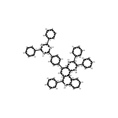 c1ccc(-c2nc(-c3ccccc3)nc(-c3ccc(-c4cc5c(-c6ccccc6)nc6ccccc6c5c5nc(-c6ccccc6)c(-c6ccccc6)nc45)cc3)n2)cc1